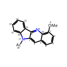 COc1cccc2cc3c(nc12)c1ccccc1n3C(C)=O